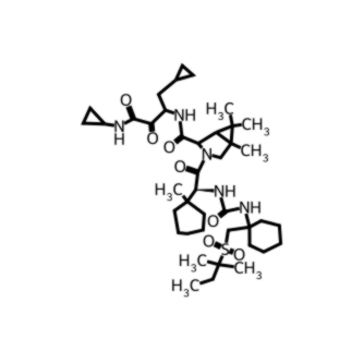 CCC(C)(C)S(=O)(=O)CC1(NC(=O)N[C@H](C(=O)N2CC3(C)C(C2C(=O)NC(CC2CC2)C(=O)C(=O)NC2CC2)C3(C)C)C2(C)CCCCC2)CCCCC1